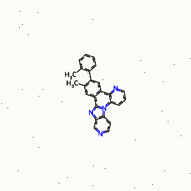 Cc1ccccc1-c1cc2c(cc1C)c1nc3cnccc3n1c1cccnc21